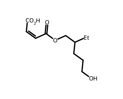 CCC(CCCO)COC(=O)/C=C\C(=O)O